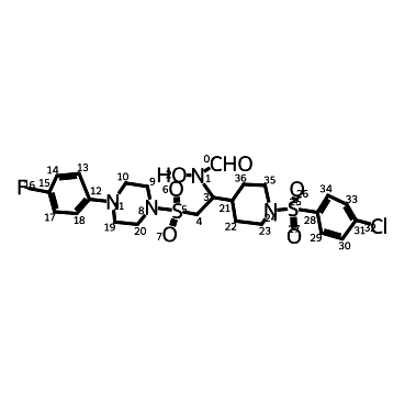 O=CN(O)C(CS(=O)(=O)N1CCN(c2ccc(F)cc2)CC1)C1CCN(S(=O)(=O)c2ccc(Cl)cc2)CC1